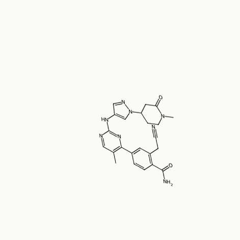 Cc1cnc(Nc2cnn(C3CCN(C)C(=O)C3)c2)nc1-c1ccc(C(N)=O)c(CC#N)c1